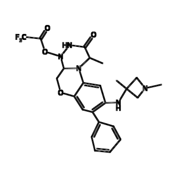 CC1C(=O)NN(OC(=O)C(F)(F)F)C2COc3cc(-c4ccccc4)c(NC4(C)CN(C)C4)cc3N12